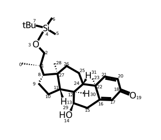 C[C@H](CO[Si](C)(C)C(C)(C)C)[C@H]1CC[C@H]2[C@@H]3[C@H](O)CC4=CC(=O)C=C[C@]4(C)[C@H]3CC[C@]12C